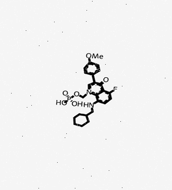 COc1ccc(-c2cn(COP(=O)(O)O)c3c(NCC4CCCCC4)ccc(F)c3c2=O)cc1